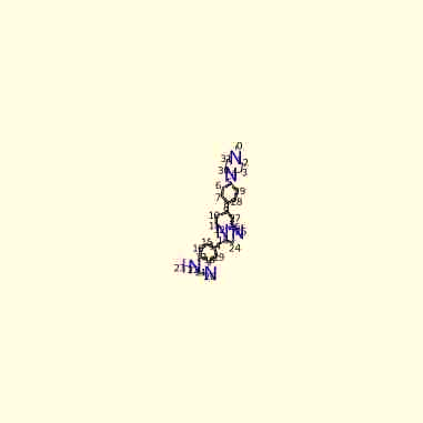 CN1CCN(c2ccc(-c3ccn4c(-c5ccc6c(c5)ncn6I)cnc4c3)cc2)CC1